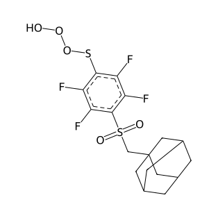 O=S(=O)(CC12CC3CC(CC(C3)C1)C2)c1c(F)c(F)c(SOOO)c(F)c1F